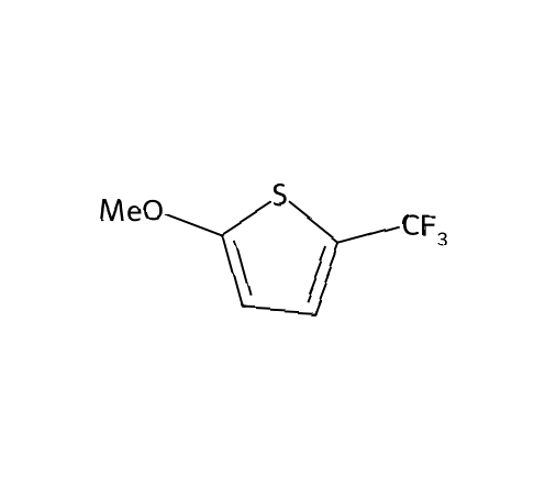 COc1ccc(C(F)(F)F)s1